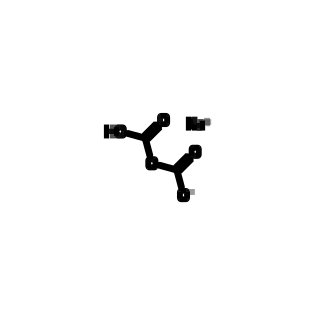 O=C([O-])OC(=O)O.[Na+]